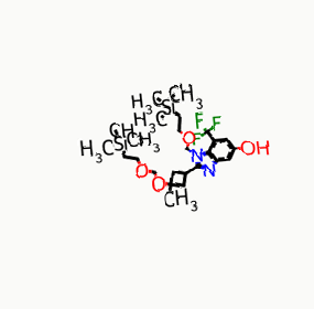 CC1(OCOCC[Si](C)(C)C)CC(c2nc3cc(O)cc(C(F)(F)F)c3n2COCC[Si](C)(C)C)C1